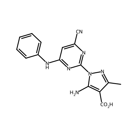 Cc1nn(-c2nc(C#N)cc(Nc3ccccc3)n2)c(N)c1C(=O)O